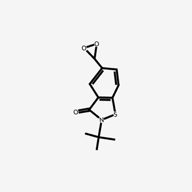 CC(C)(C)n1sc2ccc(C3OO3)cc2c1=O